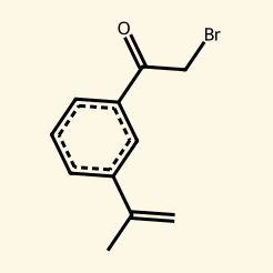 C=C(C)c1cccc(C(=O)CBr)c1